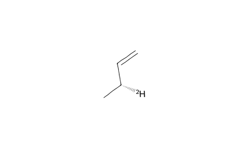 [2H][C@H](C)C=C